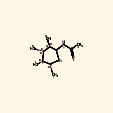 CC(=O)NC1O[C@H](C)[C@H](O)[C@H](O)[C@H]1O